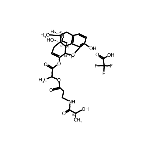 CC(OC(=O)CCNC(=O)[C@H](C)O)C(=O)OC1=CC[C@@]2(O)[C@H]3Cc4ccc(O)c5c4[C@@]2(CCN3C)[C@H]1O5.O=C(O)C(F)(F)F